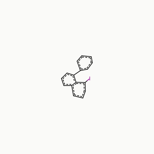 Ic1cccc2cccc(-c3ccccc3)c12